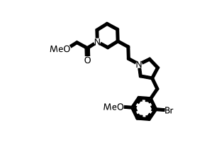 COCC(=O)N1CCCC(CCN2CCC(Cc3cc(OC)ccc3Br)C2)C1